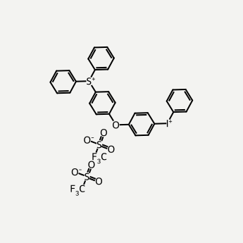 O=S(=O)([O-])C(F)(F)F.O=S(=O)([O-])C(F)(F)F.c1ccc([I+]c2ccc(Oc3ccc([S+](c4ccccc4)c4ccccc4)cc3)cc2)cc1